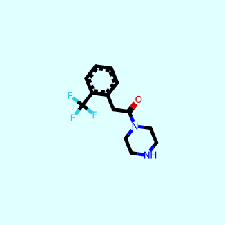 O=C(Cc1ccccc1C(F)(F)F)N1CCNCC1